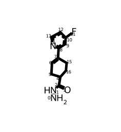 NNC(=O)C1CC=C(c2cc(F)ccn2)CC1